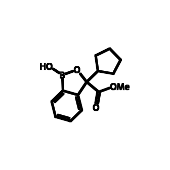 COC(=O)C1(C2CCCC2)OB(O)c2ccccc21